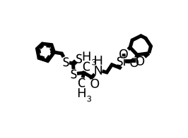 CC(C)(SC(=S)SCc1ccccc1)C(=O)NCCC[Si]12OC3CCCCC(O1)C3O2